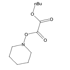 CCCCOC(=O)C(=O)ON1CCCCC1